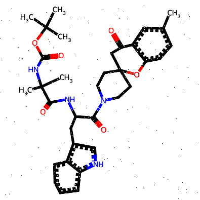 Cc1ccc2c(c1)C(=O)CC1(CCN(C(=O)C(Cc3c[nH]c4ccccc34)NC(=O)C(C)(C)NC(=O)OC(C)(C)C)CC1)O2